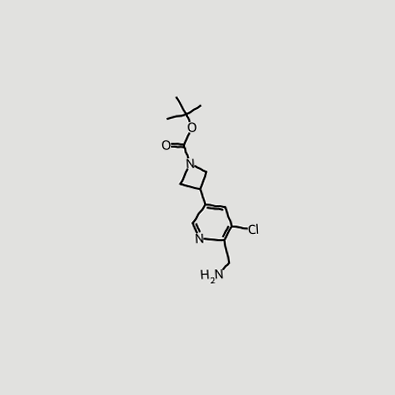 CC(C)(C)OC(=O)N1CC(c2cnc(CN)c(Cl)c2)C1